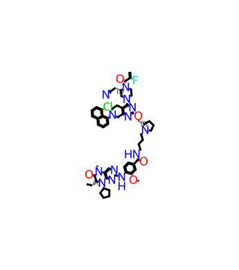 C=C(F)C(=O)N1CCN(c2nc(OC[C@@H]3CCCN3CCCCNC(=O)c3ccc(Nc4ncc5c(n4)N(C4CCCC4)[C@H](CC)C(=O)N5C)c(OC)c3)nc3c2CCN(c2cccc4cccc(Cl)c24)C3)C[C@@H]1CC#N